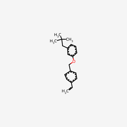 C=Cc1ccc(COc2cccc(CC(C)(C)C)c2)cc1